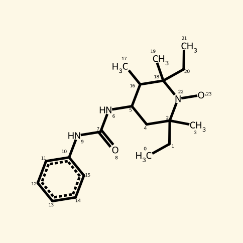 CCC1(C)CC(NC(=O)Nc2ccccc2)C(C)C(C)(CC)N1[O]